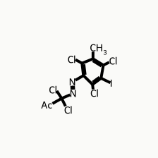 CC(=O)C(Cl)(Cl)/N=N/c1c(Cl)c(C)c(Cl)c(I)c1Cl